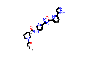 C=CC(=O)N1CCC[C@H](C(=O)Nc2ccc(-c3noc(-c4cccc(-c5ccn[nH]5)n4)n3)nc2)C1